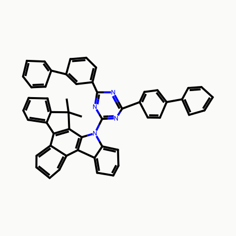 CC1(C)c2ccccc2-c2c1c1c(c3ccccc23)c2ccccc2n1-c1nc(-c2ccc(-c3ccccc3)cc2)nc(-c2cccc(-c3ccccc3)c2)n1